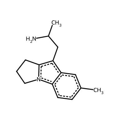 Cc1ccc2c(c1)c(CC(C)N)c1n2CCC1